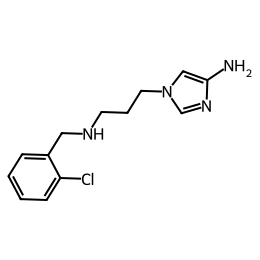 Nc1cn(CCCNCc2ccccc2Cl)cn1